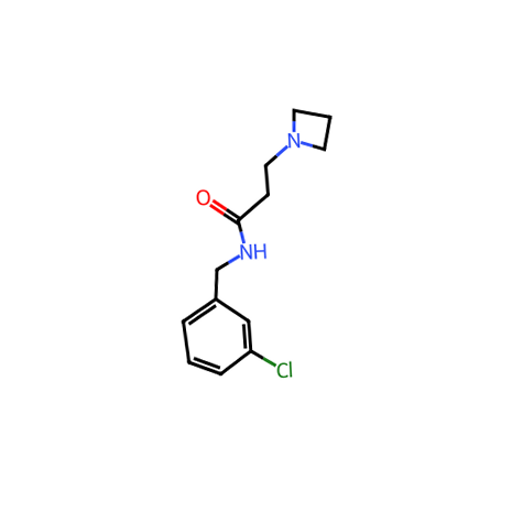 O=C(CCN1CCC1)NCc1cccc(Cl)c1